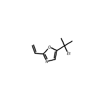 C=Cc1ncc(C(C)(C)CC)o1